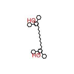 Oc1c(C2CCCCC2)cc(CCCCCCCCCCCc2cc(C3CCCCC3)c(O)c(C3CCCCC3)c2)cc1C1CCCCC1